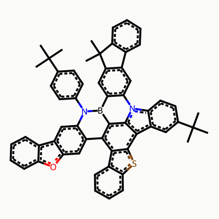 CC(C)(C)c1ccc(N2B3c4cc5c(cc4-n4c6ccc(C(C)(C)C)cc6c6c7sc8ccccc8c7c(c3c64)-c3cc4oc6ccccc6c4cc32)-c2ccccc2C5(C)C)cc1